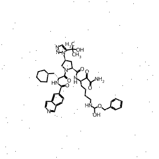 CC(C)(O)c1cnnn1[C@H]1C[C@@H](C(=O)NC(CCCCNC(O)OCc2ccccc2)C(=O)C(N)=O)N(C(=O)[C@@H](CC2CCCCC2)NC(=O)c2ccc3cnccc3c2)C1